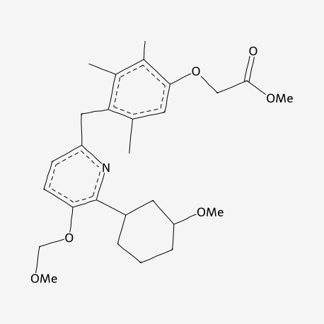 COCOc1ccc(Cc2c(C)cc(OCC(=O)OC)c(C)c2C)nc1C1CCCC(OC)C1